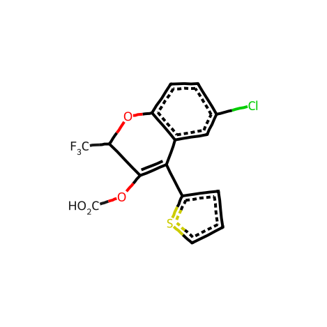 O=C(O)OC1=C(c2cccs2)c2cc(Cl)ccc2OC1C(F)(F)F